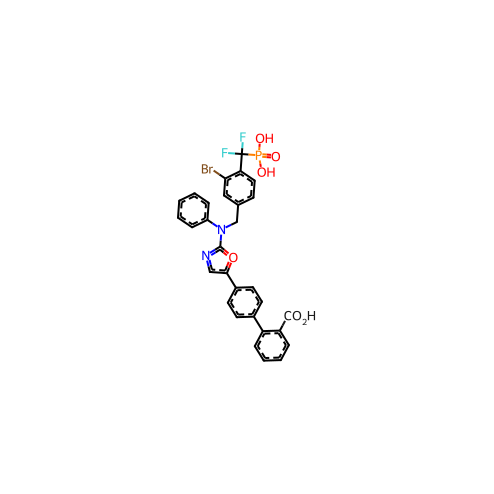 O=C(O)c1ccccc1-c1ccc(-c2cnc(N(Cc3ccc(C(F)(F)P(=O)(O)O)c(Br)c3)c3ccccc3)o2)cc1